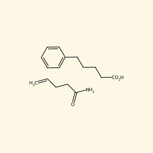 C=CCCC(N)=O.O=C(O)CCCCc1ccccc1